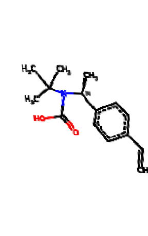 C=Cc1ccc([C@H](C)N(C(=O)O)C(C)(C)C)cc1